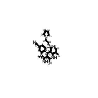 COc1cc(C#N)ccc1[C@@H]1C(C(N)=O)=C(C)Nc2c(C)cnc(OCCn3cccc3)c21